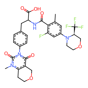 Cc1cc(N2CCOC[C@@H]2C(F)(F)F)cc(F)c1C(=O)NC(Cc1ccc(-n2c(=O)c3c(n(C)c2=O)CCOC3)cc1)C(=O)O